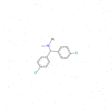 CC(=O)N(C)C(c1ccc(Cl)cc1)c1ccc(Cl)cc1